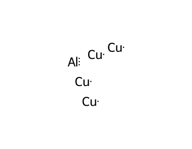 [Al].[Cu].[Cu].[Cu].[Cu]